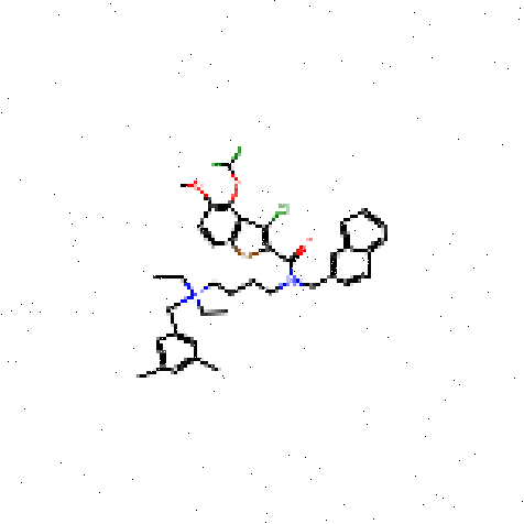 CC[N+](CC)(CCCCN(Cc1ccc2ccccc2c1)C(=O)c1sc2ccc(OC)c(OC(F)F)c2c1Cl)Cc1cc(C)cc(C)c1